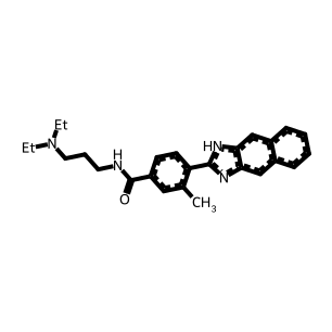 CCN(CC)CCCNC(=O)c1ccc(-c2nc3cc4ccccc4cc3[nH]2)c(C)c1